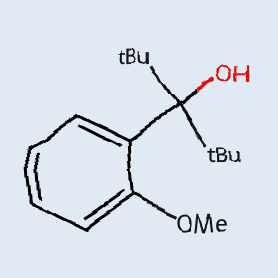 COc1ccccc1C(O)(C(C)(C)C)C(C)(C)C